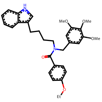 CCOc1ccc(C(=O)N(CCCCc2c[nH]c3ccccc23)Cc2cc(OC)c(OC)c(OC)c2)cc1